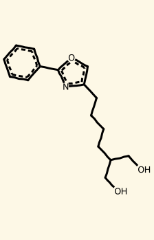 OCC(CO)CCCCc1coc(-c2ccccc2)n1